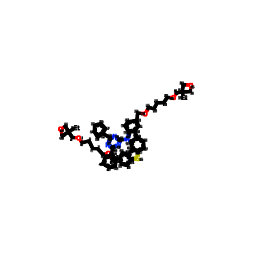 CCC1(COCCCCCOCc2ccc3sc4ccc5c6cc(COCCCCCOCC7(CC)COC7)ccc6n(-c6nc(-c7ccccc7)nc(-c7ccccc7)n6)c5c4c3c2)COC1